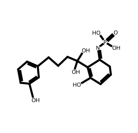 O=P(O)(O)N=C1CC=CC(O)=C1C(O)(O)CCCc1cccc(O)c1